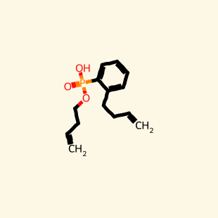 C=CCCOP(=O)(O)c1ccccc1CCC=C